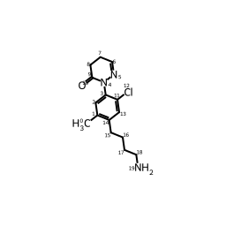 Cc1cc(N2N=CCCC2=O)c(Cl)cc1CCCCN